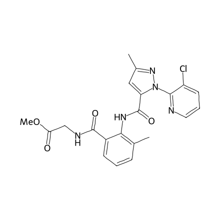 COC(=O)CNC(=O)c1cccc(C)c1NC(=O)c1cc(C)nn1-c1ncccc1Cl